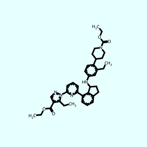 CCOC(=O)c1cnn(-c2cccc(-c3cccc4c3C(Nc3ccc(C5CCN(C(=O)OCC)CC5)c(CC)c3)CC4)n2)c1CC